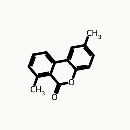 Cc1ccc2oc(=O)c3c(C)cccc3c2c1